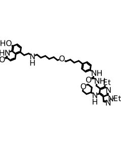 CCc1nc2c(cnn2CC)c(NC2CCOCC2)c1CNC(=O)Nc1ccc(CCCCOCCCCCCNCCc2ccc(O)c3[nH]c(=O)ccc23)cc1